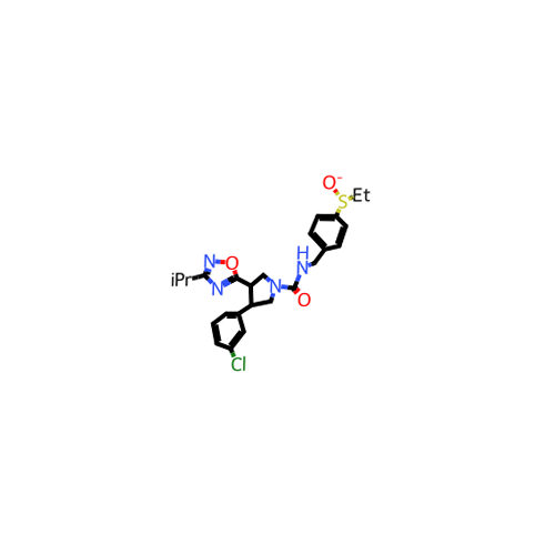 CC[S+]([O-])c1ccc(CNC(=O)N2CC(c3cccc(Cl)c3)C(c3nc(C(C)C)no3)C2)cc1